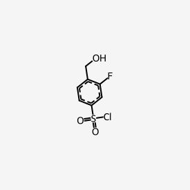 O=S(=O)(Cl)c1ccc(CO)c(F)c1